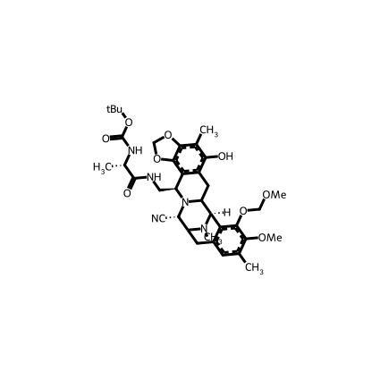 COCOc1c(OC)c(C)cc2c1[C@@H]1C3Cc4c(O)c(C)c5c(c4[C@H](CNC(=O)[C@H](C)NC(=O)OC(C)(C)C)N3[C@@H](C#N)C(C2)N1C)OCO5